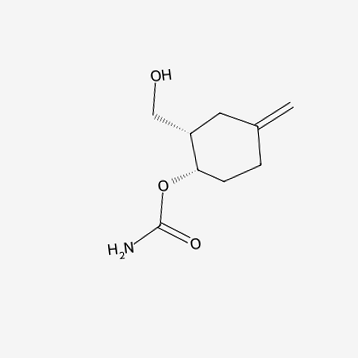 C=C1CC[C@H](OC(N)=O)[C@H](CO)C1